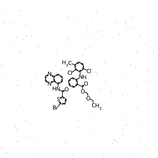 CCOCOC(=O)c1ccccc1Nc1c(Cl)ccc(C)c1Cl.O=C(Nc1cccc2nccnc12)c1ccc(Br)s1